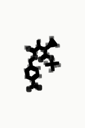 CC(C(=O)OCc1ccc([N+](=O)[O-])cc1)N(C(=O)OC(C)(C)C)C1CC1